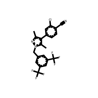 Cc1nn(Cc2cc(C(F)(F)F)cc(C(F)(F)F)c2)c(C)c1-c1ccc(C#N)c(Cl)c1